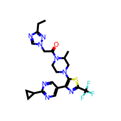 CCc1ncn(CC(=O)N2CCN(c3sc(C(F)(F)F)nc3-c3cnc(C4CC4)nc3)CC2C)n1